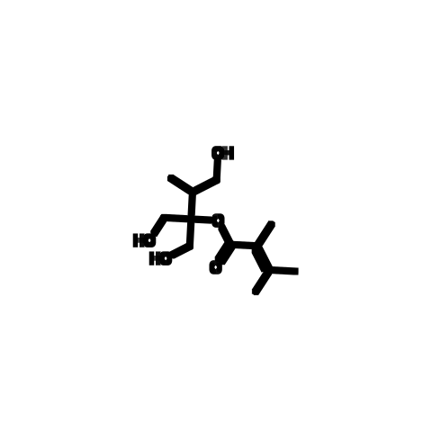 CC(C)=C(C)C(=O)OC(CO)(CO)C(C)CO